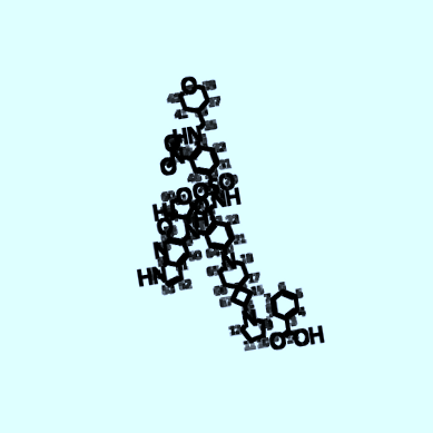 O=C(O)c1ccccc1[C@@H]1CCCN1C1CC2(CCN(c3ccc(C(=O)NS(=O)(=O)c4ccc(NCC5CCOCC5)c([N+](=O)[O-])c4)c(N4c5cc6cc[nH]c6nc5O[C@@H]5COC[C@H]54)c3)CC2)C1